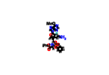 COc1ncnc2c1ncn2[C@@H]1OC2(C)[C@H](COP(=O)(N[C@@H](C)C(=O)OC(C)C)Oc3ccccc3)C2(CCN)C1F